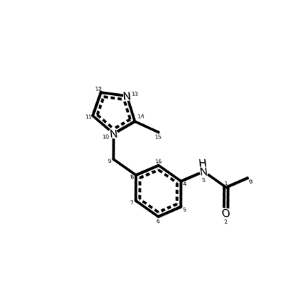 CC(=O)Nc1cccc(Cn2ccnc2C)c1